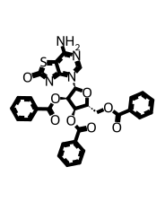 Nc1ncn([C@@H]2O[C@H](COC(=O)c3ccccc3)[C@@H](OC(=O)c3ccccc3)[C@H]2OC(=O)c2ccccc2)c2nc(=O)sc1-2